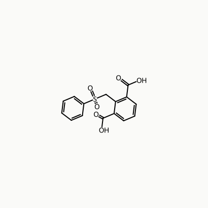 O=C(O)c1cccc(C(=O)O)c1CS(=O)(=O)c1ccccc1